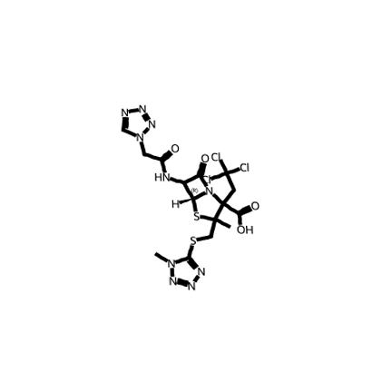 Cn1nnnc1SCC1(C)S[C@@H]2C(NC(=O)Cn3cnnn3)C(=O)N2C1(CC(Cl)(Cl)Cl)C(=O)O